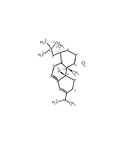 CC(C)C1=CC2=CCC3[C@@](C)(C[N+](C)(C)C)CCC[C@]3(C)[C@@H]2CC1.[Cl-]